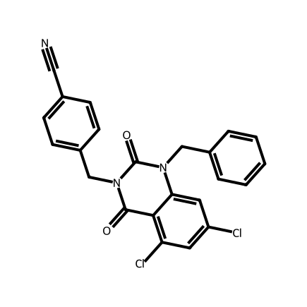 N#Cc1ccc(Cn2c(=O)c3c(Cl)cc(Cl)cc3n(Cc3ccccc3)c2=O)cc1